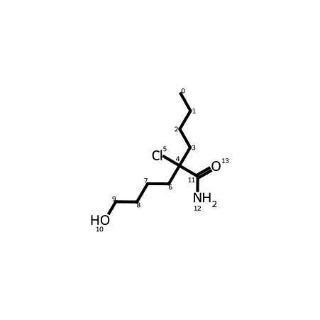 CCCCC(Cl)(CCCCO)C(N)=O